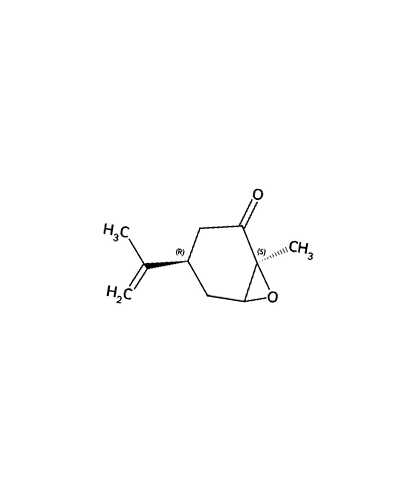 C=C(C)[C@H]1CC(=O)[C@@]2(C)OC2C1